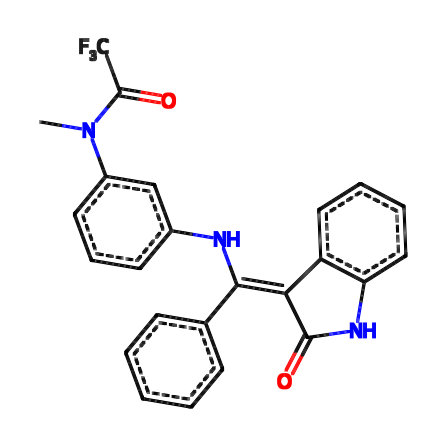 CN(C(=O)C(F)(F)F)c1cccc(NC(=C2C(=O)Nc3ccccc32)c2ccccc2)c1